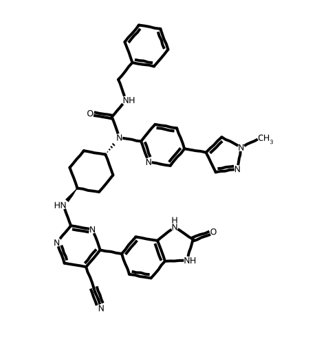 Cn1cc(-c2ccc(N(C(=O)NCc3ccccc3)[C@H]3CC[C@H](Nc4ncc(C#N)c(-c5ccc6[nH]c(=O)[nH]c6c5)n4)CC3)nc2)cn1